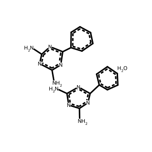 Nc1nc(N)nc(-c2ccccc2)n1.Nc1nc(N)nc(-c2ccccc2)n1.O